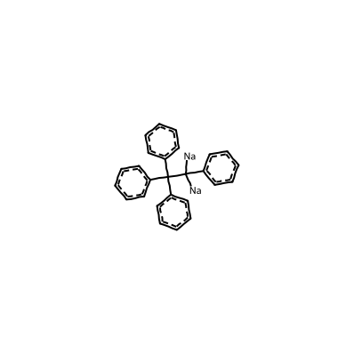 [Na][C]([Na])(c1ccccc1)C(c1ccccc1)(c1ccccc1)c1ccccc1